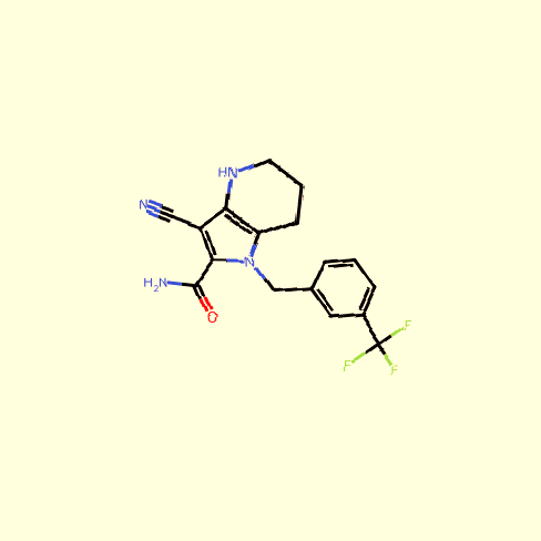 N#Cc1c2c(n(Cc3cccc(C(F)(F)F)c3)c1C(N)=O)CCCN2